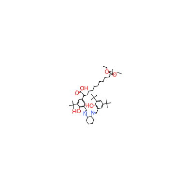 CCO[Si](C)(CCCCCCCCCC(C(=O)O)c1cc(C=N[C@@H]2CCCC[C@H]2N=Cc2cc(C(C)(C)C)cc(C(C)(C)C)c2O)c(O)c(C(C)(C)C)c1)OCC